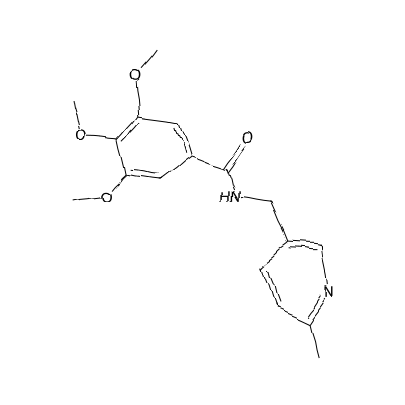 COc1cc(C(=O)NCc2ccc(C)nc2)cc(OC)c1OC